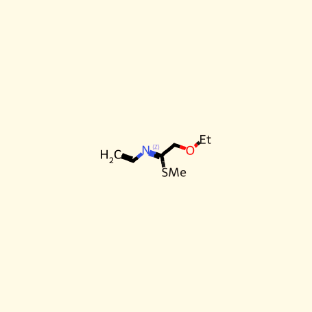 C=C/N=C(/COCC)SC